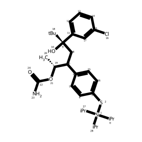 CC(C)[Si](Sc1ccc(C(C[C@](O)(c2cccc(Cl)c2)C(C)(C)C)[C@@H](C)OC(N)=O)cc1)(C(C)C)C(C)C